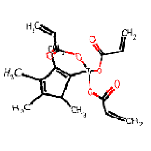 C=CC(=O)[O][Ti]([O]C(=O)C=C)([O]C(=O)C=C)[C]1=C(C)C(C)=C(C)C1C